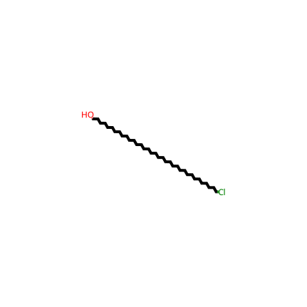 OCCCCCCCCCCCCCCCCCCCCCCCCCCCCCCCCCCCCl